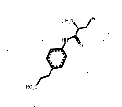 CC(C)C[C@H](N)C(=O)Nc1ccc(CCC(=O)O)cc1